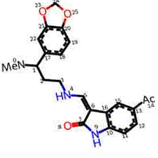 CNC(CCNC=C1C(=O)Nc2ccc(C(C)=O)cc21)c1ccc2c(c1)OCO2